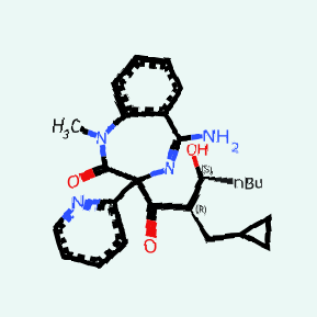 CCCC[C@H](O)[C@@H](CC1CC1)C(=O)C1(c2ccccn2)N=C(N)c2ccccc2N(C)C1=O